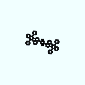 c1ccc(-c2c3c(c(-c4ccccc4)c4ccccc24)-c2ccc(-c4cnc(-c5ccc6c7c(cccc57)-c5c-6c(-c6ccccc6)c6ccccc6c5-c5ccccc5)cn4)c4cccc-3c24)cc1